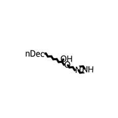 CCCCCCCCCCCCCCCCC(O)COCCCN1CCNCC1